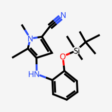 Cc1c(Nc2ccccc2O[Si](C)(C)C(C)(C)C)cc(C#N)n1C